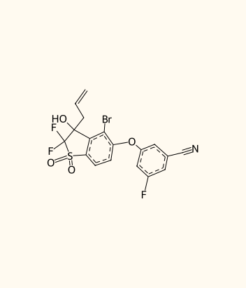 C=CCC1(O)c2c(ccc(Oc3cc(F)cc(C#N)c3)c2Br)S(=O)(=O)C1(F)F